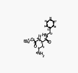 CC(C)(C)OC(=O)N[C@H](CCN)C(=O)NCc1ccccc1